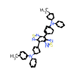 Cc1ccc(N(c2ccccc2)c2ccc(-c3c4c(c(-c5ccc(N(c6ccccc6)c6ccc(C)cc6)cc5)c5nsnc35)N=S=N4)cc2)cc1